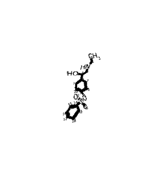 CCNCC(O)c1ccc(OS(=O)(=O)c2ccccc2)cc1